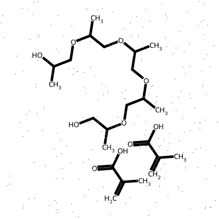 C=C(C)C(=O)O.C=C(C)C(=O)O.CC(O)COC(C)COC(C)COC(C)COC(C)CO